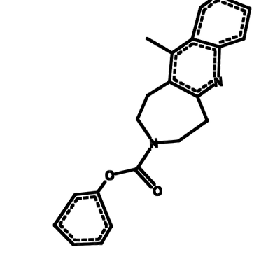 Cc1c2c(nc3ccccc13)CCN(C(=O)Oc1ccccc1)CC2